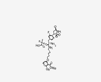 COC(=O)c1c(O)cccc1OCCCCCNC(=O)[C@@H](N)Cc1ccc(C2CC(=O)NS2(=O)=O)c(F)c1.O=C(O)C(F)(F)F